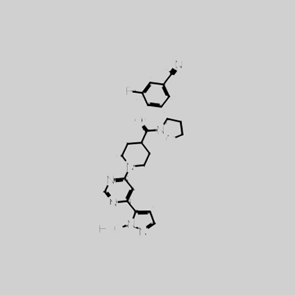 Cn1nccc1-c1cc(N2CCC(C(=O)N3OCC[C@H]3c3cc(F)cc(C#N)c3)CC2)ncn1